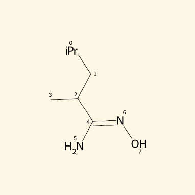 CC(C)CC(C)/C(N)=N/O